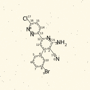 N#Cc1c(-c2cccc(Br)c2)cc(-c2ccc(Cl)nn2)nc1N